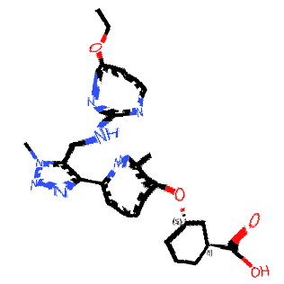 CCOc1ccnc(NCc2c(-c3ccc(O[C@H]4CCC[C@H](C(=O)O)C4)c(C)n3)nnn2C)n1